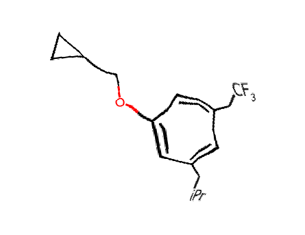 CC(C)c1cc(OCC2CC2)cc(C(F)(F)F)c1